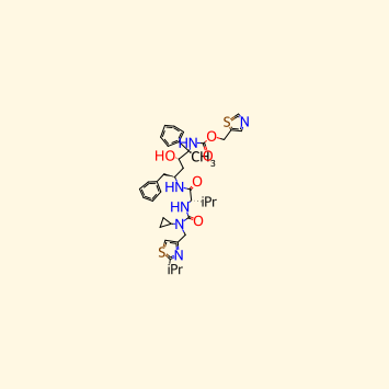 CC(C)c1nc(CN(C(=O)N[C@H](C(=O)N[C@@H](Cc2ccccc2)C[C@H](O)[C@@](C)(NC(=O)OCc2cncs2)c2ccccc2)C(C)C)C2CC2)cs1